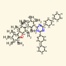 Bc1c(B)c(-c2nc(-c3ccc(-c4ccccc4)cc3)nc(-c3ccc(-c4ccccc4)cc3)n2)c(B)c(-c2c(B)c(B)c3c(oc4c(B)c(B)c(B)c(B)c43)c2B)c1B